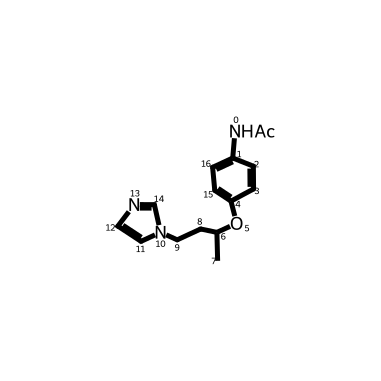 CC(=O)Nc1ccc(OC(C)CCn2ccnc2)cc1